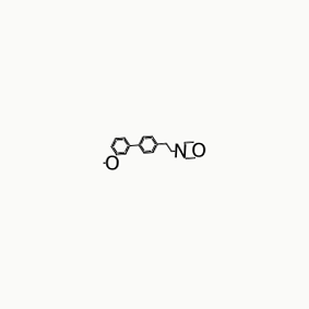 COc1cccc(-c2ccc(CCN3CCOCC3)cc2)c1